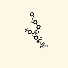 CC(C)(C)c1ccc(C(Cc2ccc(C(=O)NCCS(=O)(=O)O)cc2)c2cc(-c3cccc(-c4ccc(OCc5ccccc5)c(F)c4)c3)on2)cc1